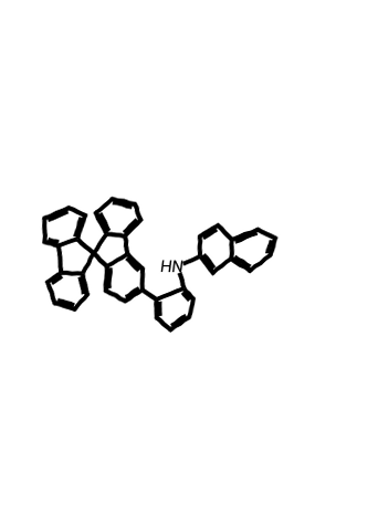 c1ccc(-c2ccc3c(c2)-c2ccccc2C32c3ccccc3-c3ccccc32)c(Nc2ccc3ccccc3c2)c1